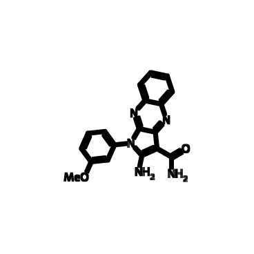 COc1cccc(-n2c(N)c(C(N)=O)c3nc4ccccc4nc32)c1